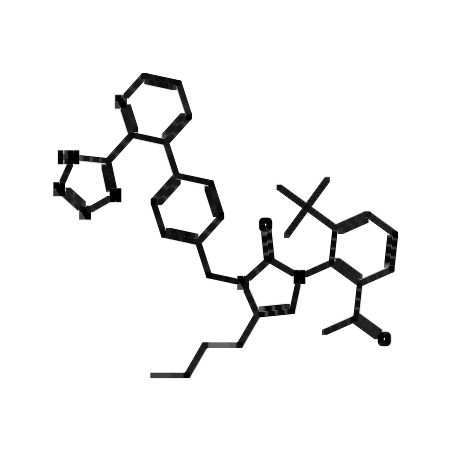 CCCCc1cn(-c2c(C(C)=O)cccc2C(C)(C)C)c(=O)n1Cc1ccc(-c2cccnc2-c2nnn[nH]2)cc1